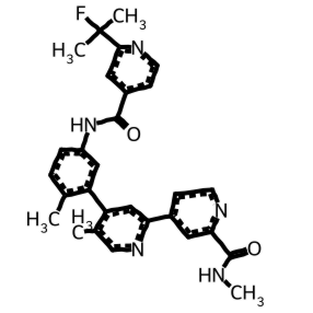 CNC(=O)c1cc(-c2cc(-c3cc(NC(=O)c4ccnc(C(C)(C)F)c4)ccc3C)c(C)cn2)ccn1